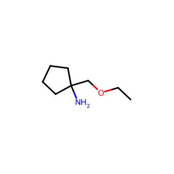 CCOCC1(N)CCCC1